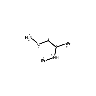 CCCC(CON)NC(C)C